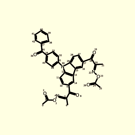 CC(=O)ON=C(C)C(=O)c1ccc2c(c1)c1cc(C(=O)C(C)=NOC(C)=O)ccc1n2-c1ccc(C(=O)c2ccccc2)cc1